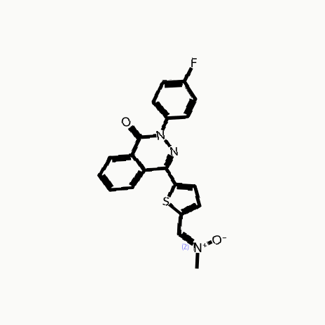 C/[N+]([O-])=C/c1ccc(-c2nn(-c3ccc(F)cc3)c(=O)c3ccccc23)s1